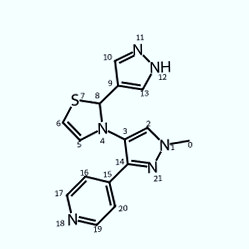 Cn1cc(N2C=CSC2c2cn[nH]c2)c(-c2ccncc2)n1